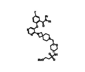 CCN(C(=O)c1cc(F)ccc1Oc1cncnc1N1CC2(CCN(C[C@@H]3CC[C@@H](NS(=O)(=O)CCOC)CO3)CC2)C1)C(C)C